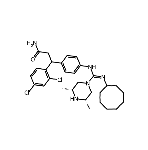 C[C@@H]1CN(/C(=N\C2CCCCCCC2)Nc2ccc(C(CC(N)=O)c3ccc(Cl)cc3Cl)cc2)C[C@H](C)N1